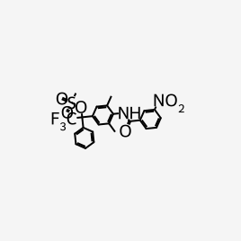 Cc1cc(C(OS(C)(=O)=O)(c2ccccc2)C(F)(F)F)cc(C)c1NC(=O)c1cccc([N+](=O)[O-])c1